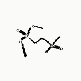 COP(=O)(CCP(C)(C)=O)OC